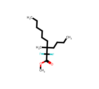 CCCCCCC(C)(CCCC)C(F)(F)C(=O)OC